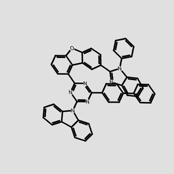 c1ccc(-c2ccc(-c3nc(-c4cccc5oc6ccc(-c7nc8ccccc8n7-c7ccccc7)cc6c45)nc(-n4c5ccccc5c5ccccc54)n3)cc2)cc1